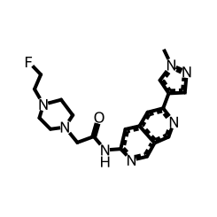 Cn1cc(-c2cc3cc(NC(=O)CN4CCN(CCF)CC4)ncc3cn2)cn1